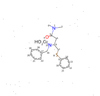 CN(C)C(=O)CC(CSc1ccccc1)N(Cc1ccccc1)C(=O)O